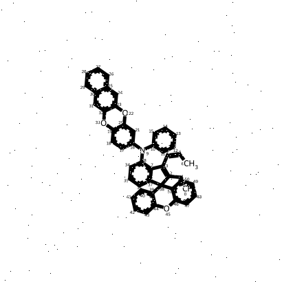 C=CC1=C(/C=C\C)c2c(N(c3ccccc3)c3ccc4c(c3)Oc3cc5ccccc5cc3O4)cccc2C12c1ccccc1Oc1ccccc12